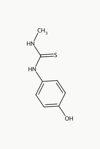 CNC(=S)Nc1ccc(O)cc1